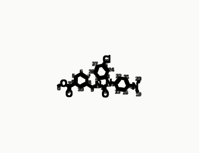 COC(=O)c1cccc(Cn2c(=O)n(-c3ccc(N(C)C)cc3)c3cc(Cl)ccc32)c1